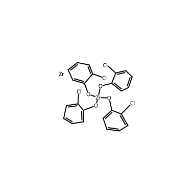 Clc1ccccc1[O][Zr]([O]c1ccccc1Cl)([O]c1ccccc1Cl)[O]c1ccccc1Cl.[Zr]